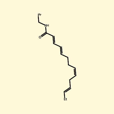 CC/C=C/C/C=C\CC/C=C/C=C/C(=O)NCC(C)C